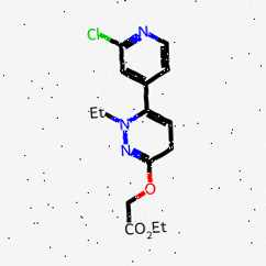 CCOC(=O)COC1=NN(CC)C(c2ccnc(Cl)c2)=CC1